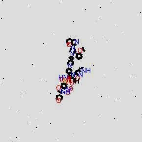 CC(C)Oc1ccccc1[C@@H]1CN(c2cncc3c2OCCC3)CCN1C1CC2(CCN(c3ccc(C(=O)NS(=O)(=O)c4cc5c(c([N+](=O)[O-])c4)N[C@H](C4CCOCC4)CO5)c(N4c5cc6cc[nH]c6nc5O[C@H]5COCC[C@@H]54)c3)CC2)C1